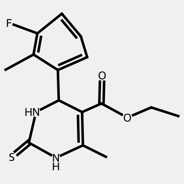 CCOC(=O)C1=C(C)NC(=S)NC1c1cccc(F)c1C